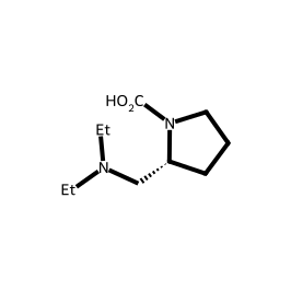 CCN(CC)C[C@H]1CCCN1C(=O)O